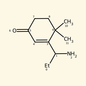 CCC(N)C1=CC(=O)CCC1(C)C